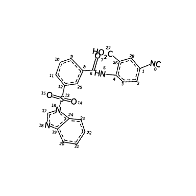 [C-]#[N+]c1ccc(NC(=O)c2cccc(S(=O)(=O)n3cnc4ccccc43)c2)c(C(=O)O)c1